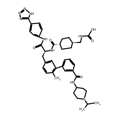 Cc1ccc(C[C@H](NC(=O)[C@H]2CC[C@H](CNC(=O)O)CC2)C(=O)Nc2ccc(-c3nnn[nH]3)cc2)cc1-c1cccc(C(=O)NC2CCN(C(C)C)CC2)c1